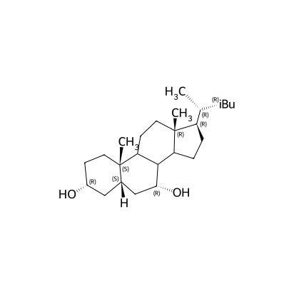 CC[C@@H](C)[C@@H](C)[C@H]1CCC2C3C(CC[C@@]21C)[C@@]1(C)CC[C@@H](O)C[C@H]1C[C@H]3O